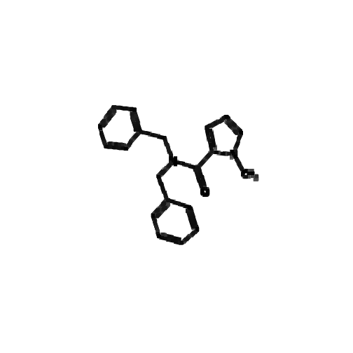 Cn1cccc1C(=O)N(Cc1ccccc1)Cc1ccccc1